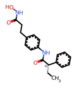 CC[C@H](C(=O)Nc1ccc(CCC(=O)NO)cc1)c1ccccc1